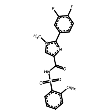 COc1ccccc1S(=O)(=O)NC(=O)c1cn(C)c(-c2ccc(F)c(F)c2)n1